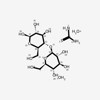 NC(N)=S.O.O.OC[C@H]1O[C@@H](O[C@H]2[C@H](O)[C@@H](O)[C@H](O)O[C@@H]2CO)[C@H](O)[C@@H](O)[C@@H]1O